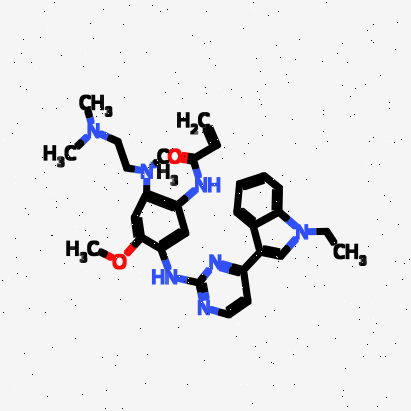 C=CC(=O)Nc1cc(Nc2nccc(-c3cn(CC)c4ccccc34)n2)c(OC)cc1N(C)CCN(C)C